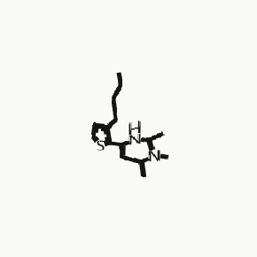 CCCCc1ccsc1C1=CC(C)N(C)C(C)N1